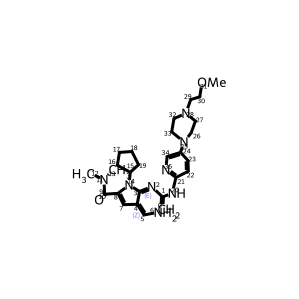 C=C(/N=C1\C(=C/N)C=C(C(=O)N(C)C)N1C1CCCC1)Nc1ccc(N2CCN(CCOC)CC2)cn1